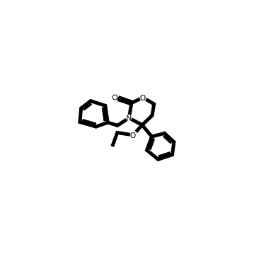 CCOC1(c2ccccc2)CCOC(=O)N1Cc1ccccc1